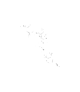 C=Nc1cc(C#N)cnc1N(C)CCN1CCN(c2ncc(F)c(OCC3CC=C(Cl)C=C3F)n2)C[C@@H]1C